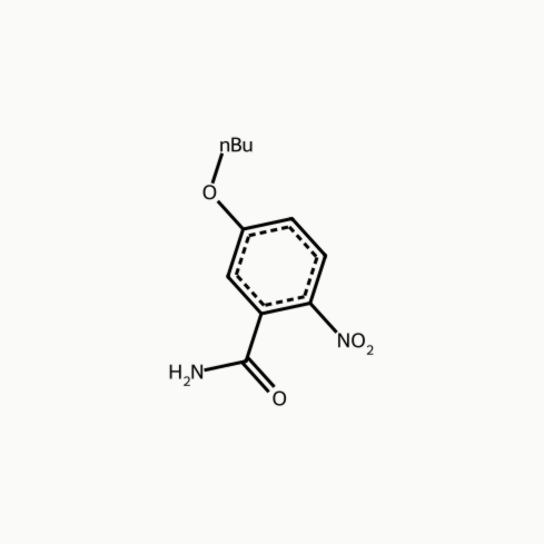 CCCCOc1ccc([N+](=O)[O-])c(C(N)=O)c1